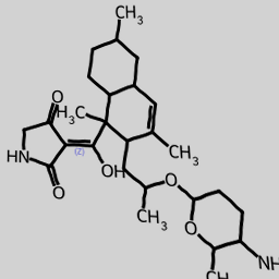 CC1=CC2CC(C)CCC2C(C)(/C(O)=C2\C(=O)CNC2=O)C1CC(C)OC1CCC(N)C(C)O1